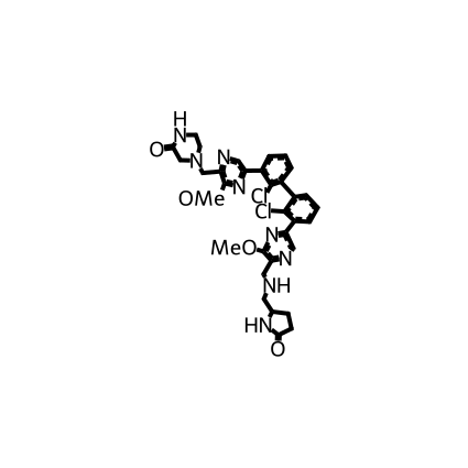 COc1nc(-c2cccc(-c3cccc(-c4cnc(CN5CCNC(=O)C5)c(OC)n4)c3Cl)c2Cl)cnc1CNCC1CCC(=O)N1